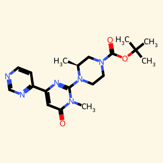 C[C@H]1CN(C(=O)OC(C)(C)C)CCN1c1nc(-c2ccncn2)cc(=O)n1C